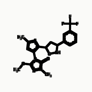 COc1nn(C)c(=O)n1-c1cc(C)sc1C1CC(c2cccc(C(F)(F)F)c2)NO1